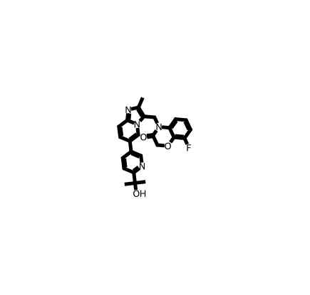 Cc1nc2ccc(-c3ccc(C(C)(C)O)nc3)cn2c1CN1C(=O)COc2c(F)cccc21